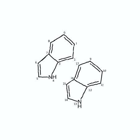 c1ccc2[nH]ccc2c1.c1ccc2[nH]ccc2c1